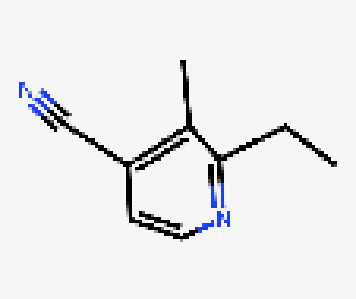 CCc1nccc(C#N)c1C